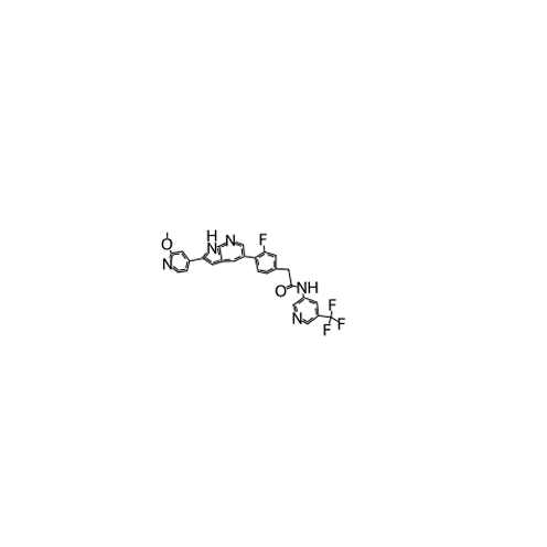 COc1cc(-c2cc3cc(-c4ccc(CC(=O)Nc5cncc(C(F)(F)F)c5)cc4F)cnc3[nH]2)ccn1